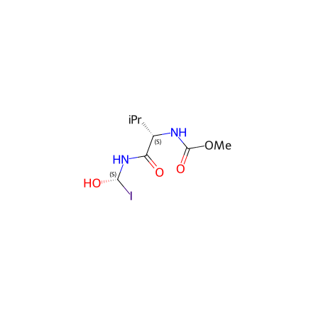 COC(=O)N[C@H](C(=O)N[C@@H](O)I)C(C)C